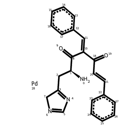 N[C@@H](CC1=NC=NC1)C(=O)C(=Cc1ccccc1)C(=O)C=Cc1ccccc1.[Pd]